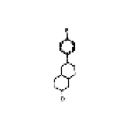 CCC1CCC2CC(c3ccc(F)cc3)CCC2C1